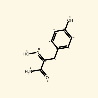 NC(=O)C(Cc1ccc(O)cc1)=NO